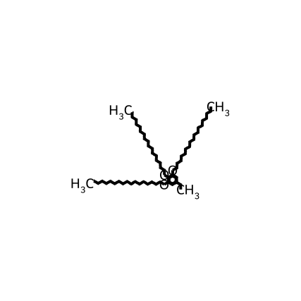 CCCCCCCCCCCCCCCCCCOc1cc(CC)cc(OCCCCCCCCCCCCCCCCCC)c1OCCCCCCCCCCCCCCCCCC